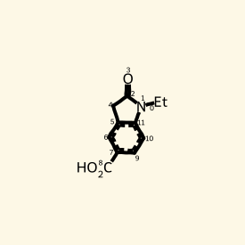 CCN1C(=O)Cc2cc(C(=O)O)ccc21